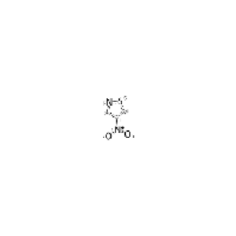 O=[N+]([O-])c1[c]snc1